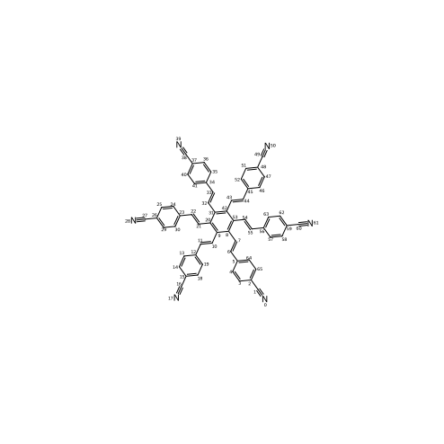 N#Cc1ccc(C=Cc2c(C=Cc3ccc(C#N)cc3)c(C=Cc3ccc(C#N)cc3)c(C=Cc3ccc(C#N)cc3)c(C=Cc3ccc(C#N)cc3)c2C=Cc2ccc(C#N)cc2)cc1